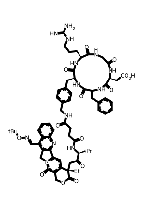 CC[C@@]1(CC(=O)[C@@H](NC(=O)CCC(=O)NCc2ccc(C[C@@H]3NC(=O)C(Cc4ccccc4)NC(=O)[C@H](CC(=O)O)NC(=O)CNC(=O)[C@H](CCCNC(=N)N)NC3=O)cc2)C(C)C)C(=O)OCc2c1cc1n(c2=O)Cc2c-1nc1ccccc1c2/C=N/OC(C)(C)C